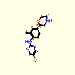 CCc1cnc(Nc2ccc([C@@H]3CNCCO3)cc2C)nc1